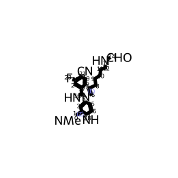 CN/C=C1/C=C(N(/C=C/CCCCCNC=O)C(=N)c2ccc(C#N)c(F)c2)C=CC1=N